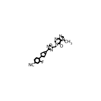 Cn1cnc2ncn(Cc3nc(C4C5C=C(c6ccc(C#N)cc6F)CC54)no3)c(=O)c21